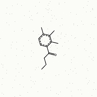 CCCC(=O)c1ccc(C)c(C)c1C